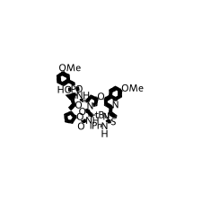 C=CC1C[C@]1(NC(=O)[C@@H]1C[C@@H](Oc2cc(-c3csc(NC(C)C)n3)nc3cc(OC)ccc23)CN1C(=O)[C@@H](NC(=O)OC1CCCC1)C(C)(C)C)P(=O)(O)Cc1cccc(OC)c1